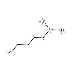 CCCCCCC[SH](C)C